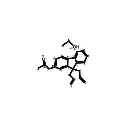 C=CCC1(CC=C)c2ccccc2-c2ccc(CC(C)=O)cc21.CCO